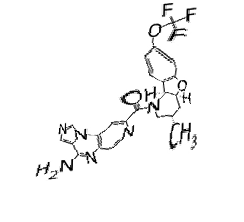 C[C@H]1C[C@@H]2Oc3cc(OC(F)(F)F)ccc3[C@@H]2N(C(=O)c2cc3c(cn2)nc(N)c2cncn23)C1